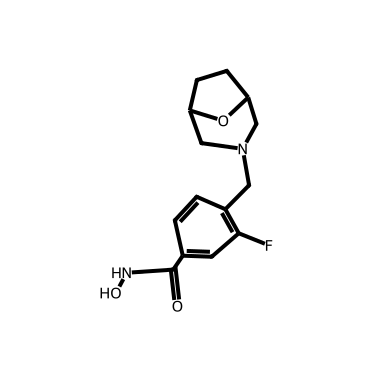 O=C(NO)c1ccc(CN2CC3CCC(C2)O3)c(F)c1